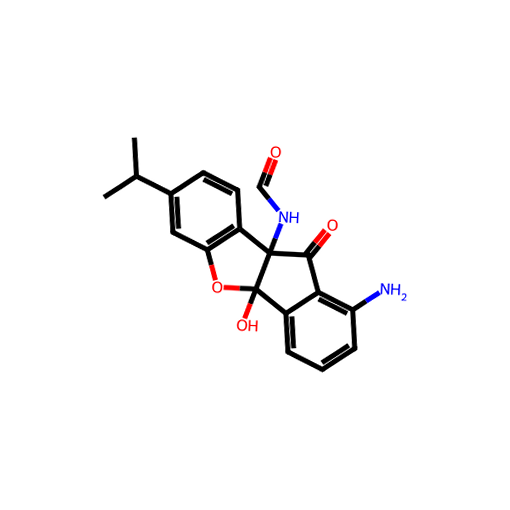 CC(C)c1ccc2c(c1)OC1(O)c3cccc(N)c3C(=O)C21NC=O